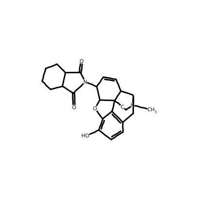 CN1CCC23c4c5ccc(O)c4OC2C(N2C(=O)C4CCCCC4C2=O)C=CC3C1C5